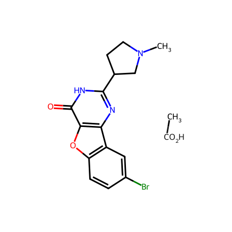 CC(=O)O.CN1CCC(c2nc3c(oc4ccc(Br)cc43)c(=O)[nH]2)C1